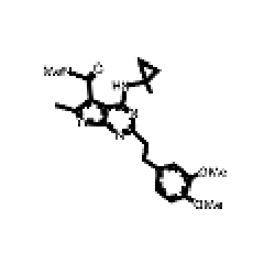 CNC(=O)c1c(C)oc2nc(CCc3ccc(OC)c(OC)c3)nc(NC3(C)CC3)c12